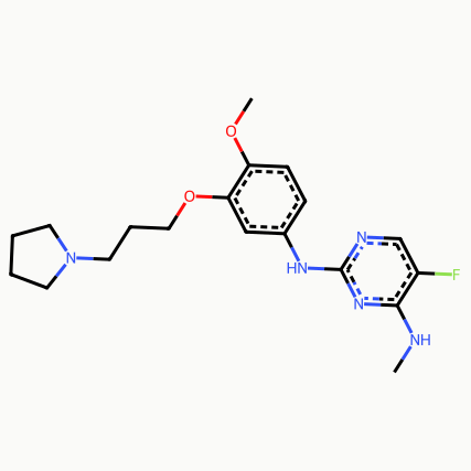 CNc1nc(Nc2ccc(OC)c(OCCCN3CCCC3)c2)ncc1F